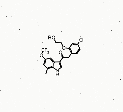 Cc1cc(OC(F)(F)F)cc2c(C(=O)Cc3ccc(Cl)cc3OCCO)c[nH]c12